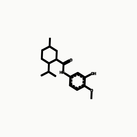 COc1ccc(NC(=O)C2CC(C)CCC2C(C)C)cc1O